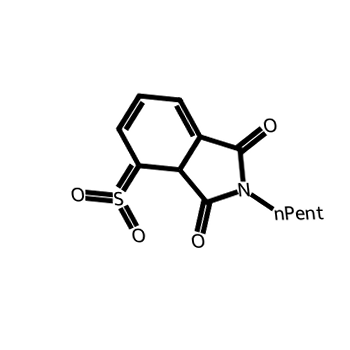 CCCCCN1C(=O)C2=CC=CC(=S(=O)=O)C2C1=O